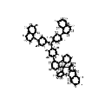 c1ccc2c(c1)-c1c(-c3ccc(N(c4ccc(-c5cccc6ccccc56)cc4)c4ccc(-c5cccc6ccccc56)cc4)cc3)cccc1C21c2ccccc2-n2c3ccccc3c3cccc1c32